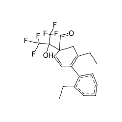 CCC1=C(c2ccccc2CC)C=CC(C=O)(C(O)(C(F)(F)F)C(F)(F)F)C1